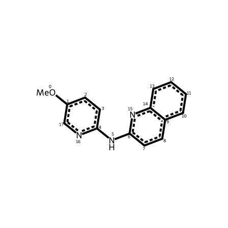 COc1ccc(Nc2ccc3ccccc3n2)nc1